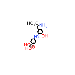 N[C@@H](Cc1ccc(O)c(N=Nc2ccc([As](=O)(O)O)cc2)c1)C(=O)O